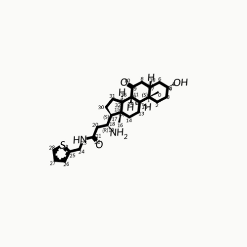 C[C@]12CC[C@@H](O)C[C@H]1CC(=O)[C@@H]1[C@@H]2CC[C@]2(C)[C@@H]([C@H](N)CC(=O)NCc3cccs3)CC[C@@H]12